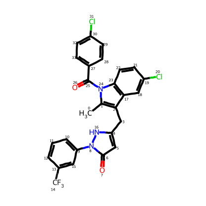 Cc1c(Cc2cc(=O)n(-c3cccc(C(F)(F)F)c3)[nH]2)c2cc(Cl)ccc2n1C(=O)c1ccc(Cl)cc1